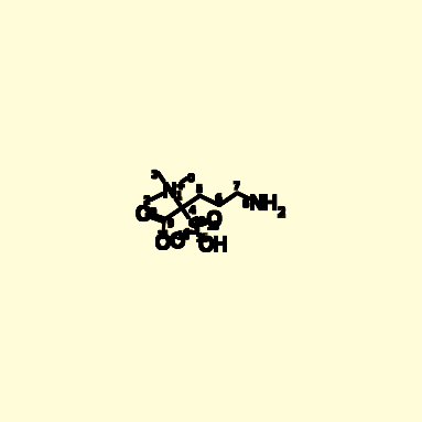 C[N+](C)(C)C(CCCN)(C(=O)[O-])S(=O)(=O)O